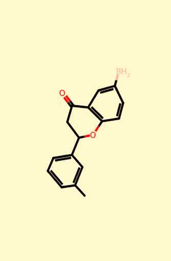 Bc1ccc2c(c1)C(=O)CC(c1cccc(C)c1)O2